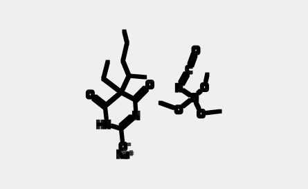 CCCC(C)C1(CC)C(=O)N=C([O-])NC1=O.CO[Si](N=C=O)(OC)OC.[Na+]